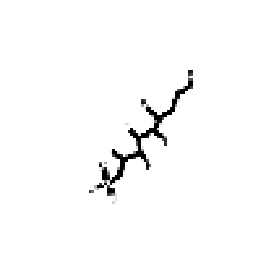 O=S(=O)(O)CC(F)C(F)C(F)C(F)C(F)CCCF